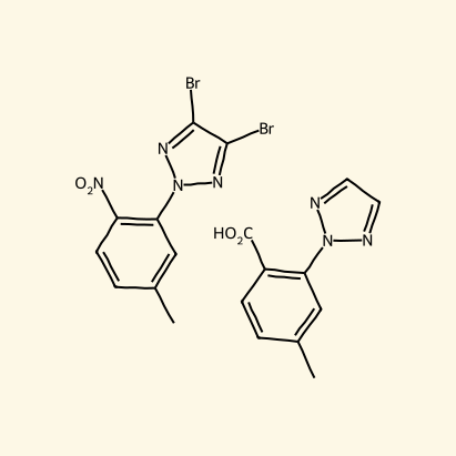 Cc1ccc(C(=O)O)c(-n2nccn2)c1.Cc1ccc([N+](=O)[O-])c(-n2nc(Br)c(Br)n2)c1